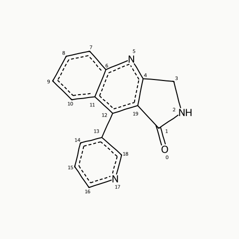 O=C1NCc2nc3ccccc3c(-c3cccnc3)c21